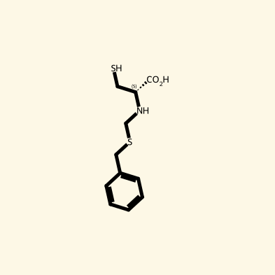 O=C(O)[C@@H](CS)NCSCc1ccccc1